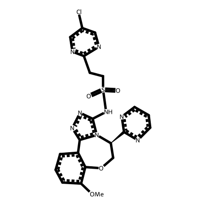 COc1cccc2c1OC[C@H](c1ncccn1)n1c(NS(=O)(=O)CCc3ncc(Cl)cn3)nnc1-2